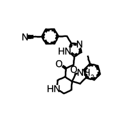 Cc1cccc(CC2(C(N)=O)CCNCC2C(=O)Cc2cnc(Cc3ccc(C#N)cc3)[nH]2)c1